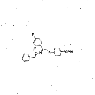 COc1ccc(SCC(=NOCc2ccccc2)c2ccc(F)cc2F)cc1